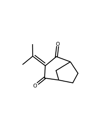 CC(C)=C1C(=O)C2CCC(C2)C1=O